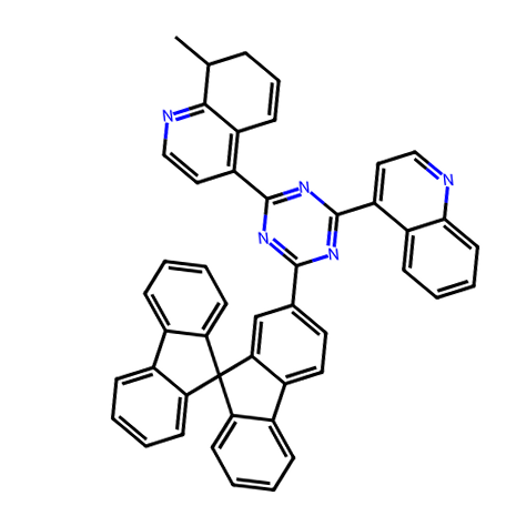 CC1CC=Cc2c(-c3nc(-c4ccc5c(c4)C4(c6ccccc6-c6ccccc64)c4ccccc4-5)nc(-c4ccnc5ccccc45)n3)ccnc21